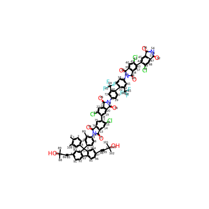 Cc1ccc(C2(c3ccc(N4C(=O)c5cc(Cl)c(-c6cc7c(cc6Cl)C(=O)N(c6ccc(-c8ccc(N9C(=O)c%10cc(Cl)c(-c%11cc%12c(cc%11Cl)C(=O)N(C)C%12=O)cc%10C9=O)cc8C(F)(F)F)c(C(F)(F)F)c6)C7=O)cc5C4=O)c(C)c3)c3cc(C#CC(C)(C)O)ccc3-c3ccc(C#CC(C)(C)O)cc32)cc1C